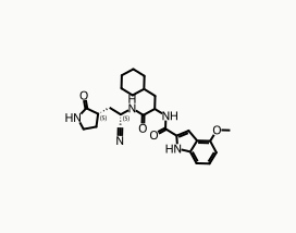 COc1cccc2[nH]c(C(=O)NC(CC3CCCCC3)C(=O)N[C@H](C#N)C[C@@H]3CCNC3=O)cc12